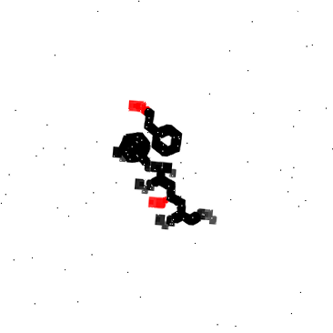 C=CC(=C)C[C@H](O)C=C(C)C.CC1=CCC2CC1C2(C)C.OCCc1ccccc1